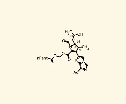 CCCCCC(=O)OCOC(=O)C1=C(c2cn3cnc(C(C)=O)c3s2)[C@H](C)[C@@H]2[C@@H]([C@@H](C)O)C(=O)N12